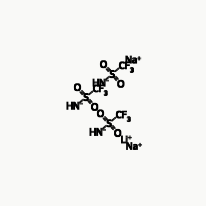 [Li+].[NH-]S(=O)(=O)C(F)(F)F.[NH-]S(=O)(=O)C(F)(F)F.[NH-]S(=O)(=O)C(F)(F)F.[Na+].[Na+]